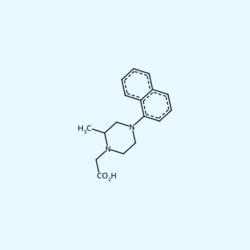 CC1CN(c2cccc3ccccc23)CCN1CC(=O)O